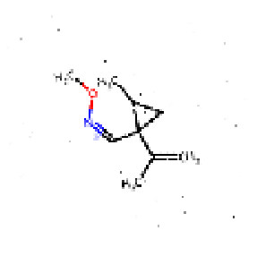 C=C(C)C1(/C=N\OC)CC1C